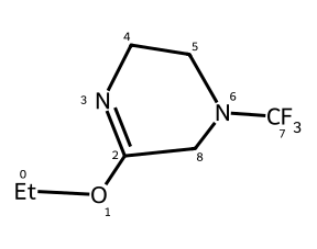 CCOC1=NCCN(C(F)(F)F)C1